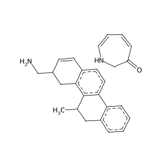 CC1Cc2ccccc2-c2ccc3c(c21)CC(CN)C=C3.O=C1C=CC=CNC1